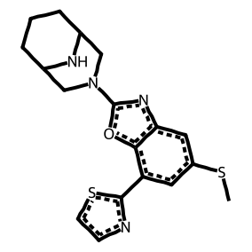 CSc1cc(-c2nccs2)c2oc(N3CC4CCCC(C3)N4)nc2c1